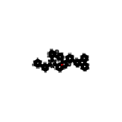 c1ccc(-c2cccc(-c3nc(-c4ccccc4)nc(-c4cccc5oc6ccc(-c7cccc8oc9c(-c%10ccc%11c%12ccccc%12c%12ccccc%12c%11c%10)cccc9c78)cc6c45)n3)c2)cc1